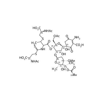 CC[C@H](C)C(=O)O[C@@H](C)[C@@]1(O)[C@H](C)O[C@@H](O[C@H]2[C@@H](O)[C@H]([C@@]3(O)CC(=O)C(N)=C(C(=O)O)C3=O)O[C@H](COC(C)=O)[C@H]2OC(=O)C(NC(=S)SC[C@H](NC(C)=O)C(=O)O)C(C)SC[C@H](NC(C)=O)C(=O)O)C[C@@H]1OC